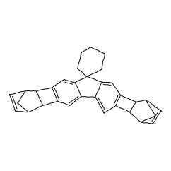 C1=CC2CC1C1c3cc4c(cc3C21)C1(CCCCC1)c1cc2c(cc1-4)C1C3C=CC(C3)C21